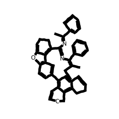 CC\C(C)=C(/N=C(\N=C(/C)c1ccccc1)C1=c2c(oc3ccc(-c4cc5c(c6c4C=CCC6)CCC=C5)cc23)=CCC1)c1ccccc1